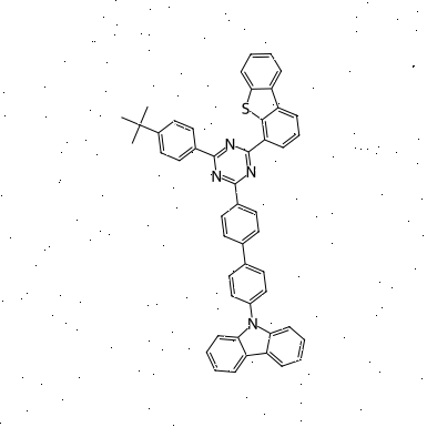 CC(C)(C)c1ccc(-c2nc(-c3ccc(-c4ccc(-n5c6ccccc6c6ccccc65)cc4)cc3)nc(-c3cccc4c3sc3ccccc34)n2)cc1